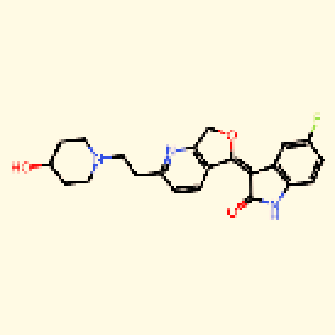 O=C1Nc2ccc(F)cc2C1=C1OCc2nc(CCN3CCC(O)CC3)ccc21